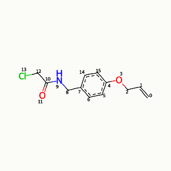 C=CCOc1ccc(CNC(=O)CCl)cc1